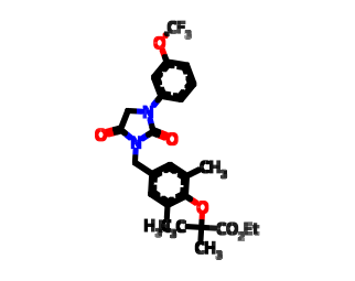 CCOC(=O)C(C)(C)Oc1c(C)cc(CN2C(=O)CN(c3cccc(OC(F)(F)F)c3)C2=O)cc1C